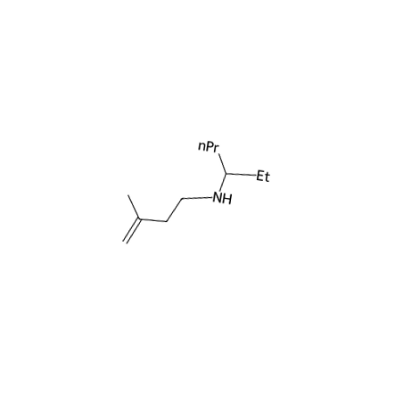 C=C(C)CCNC(CC)CCC